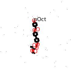 C=CC1OC(C)(C)O[C@@H]1OC(=O)Oc1ccc(-c2ccc(OC(=O)c3ccc(OCCCCCCCC)cc3)cc2)cc1